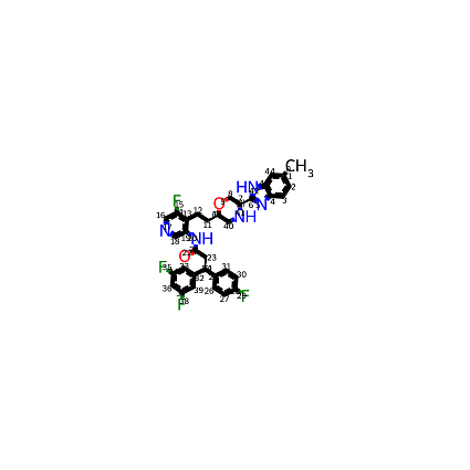 Cc1ccc2nc([C@@H]3CO[C@H](CCc4c(F)cncc4NC(=O)C[C@@H](c4ccc(F)cc4)c4cc(F)cc(F)c4)CN3)[nH]c2c1